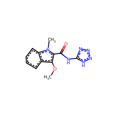 COc1c(C(=O)Nc2nnn[nH]2)n(C)c2ccccc12